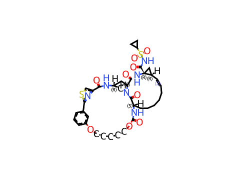 O=C1N[C@H]2CCCCC/C=C\[C@H]3C[C@@]3(C(=O)NS(=O)(=O)C3CC3)NC(=O)[C@@H]3C[C@H](CN3C2=O)NC(=O)c2csc(n2)-c2cccc(c2)OCCCCCO1